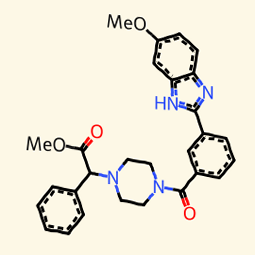 COC(=O)C(c1ccccc1)N1CCN(C(=O)c2cccc(-c3nc4ccc(OC)cc4[nH]3)c2)CC1